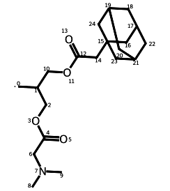 [CH2]C(COC(=O)CN(C)C)COC(=O)CC12CC3CC(CC(C3)C1)C2